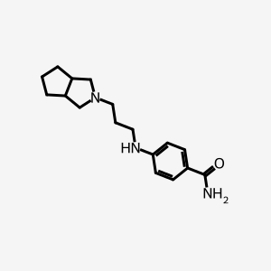 NC(=O)c1ccc(NCCCN2CC3CCCC3C2)cc1